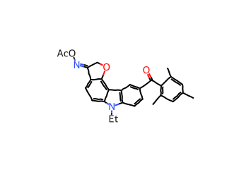 CCn1c2ccc(C(=O)c3c(C)cc(C)cc3C)cc2c2c3c(ccc21)/C(=N/OC(C)=O)CO3